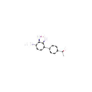 CC(=O)c1ccc(-c2ccc(N)c3nonc23)cc1